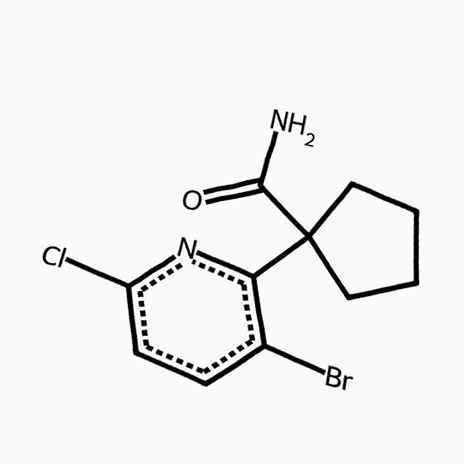 NC(=O)C1(c2nc(Cl)ccc2Br)CCCC1